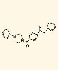 O=C(c1ccc(NCc2ccccc2)cc1)N1CCN(c2ccccc2)CC1